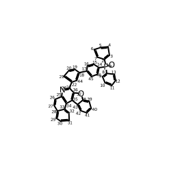 O=P(c1ccccc1)(c1ccccc1)c1ccc(-c2cccc(-c3nc4ccc5ccccc5c4c4c3oc3ccccc34)c2)cc1